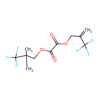 C=C(COC(=O)C(=O)OCC(C)(C)C(F)(F)F)C(F)(F)F